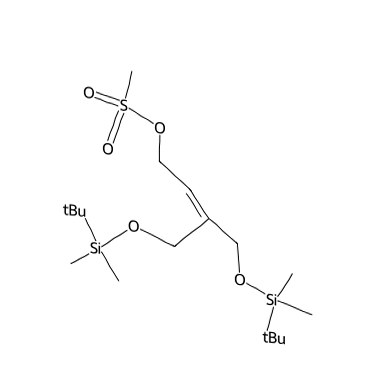 CC(C)(C)[Si](C)(C)OCC(=CCOS(C)(=O)=O)CO[Si](C)(C)C(C)(C)C